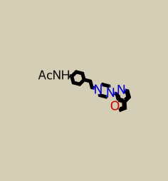 CC(=O)NC1CCC(CCN2CCN(c3nccc4ccoc34)CC2)CC1